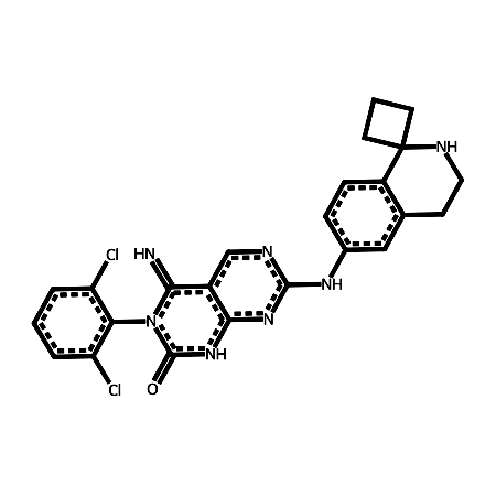 N=c1c2cnc(Nc3ccc4c(c3)CCNC43CCC3)nc2[nH]c(=O)n1-c1c(Cl)cccc1Cl